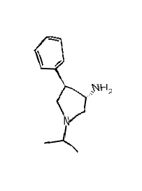 CC(C)N1C[C@@H](N)[C@H](c2ccccc2)C1